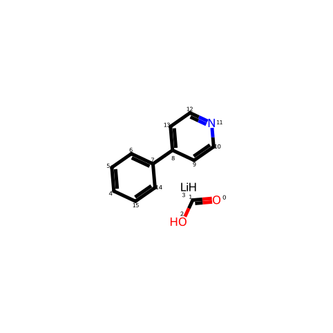 O=CO.[LiH].c1ccc(-c2ccncc2)cc1